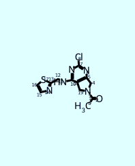 CC(=O)N1Cc2nc(Cl)nc(NCc3nccs3)c2C1